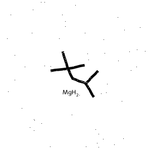 CC(C)CC(C)(C)C.[MgH2]